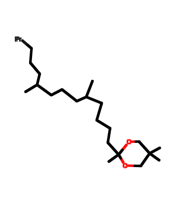 CC(C)CCCC(C)CCCC(C)CCCCC1(C)OCC(C)(C)CO1